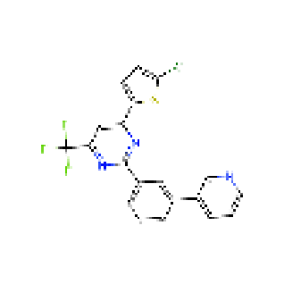 FC(F)(F)c1cc(-c2ccc(Cl)s2)nc(-c2cccc(-c3cccnc3)c2)n1